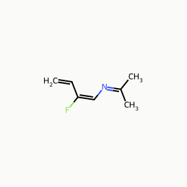 C=C/C(F)=C\N=C(C)C